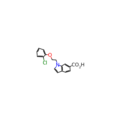 O=C(O)c1ccc2ccn(CCOc3ccccc3Cl)c2c1